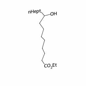 CCCCCCCC(O)CCCCCCCC(=O)OCC